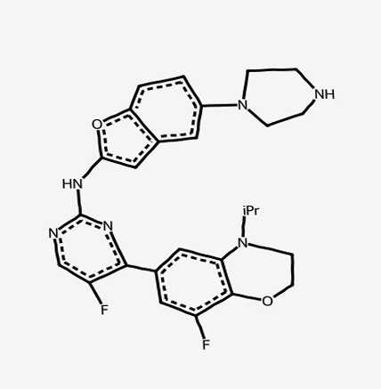 CC(C)N1CCOc2c(F)cc(-c3nc(Nc4cc5cc(N6CCNCC6)ccc5o4)ncc3F)cc21